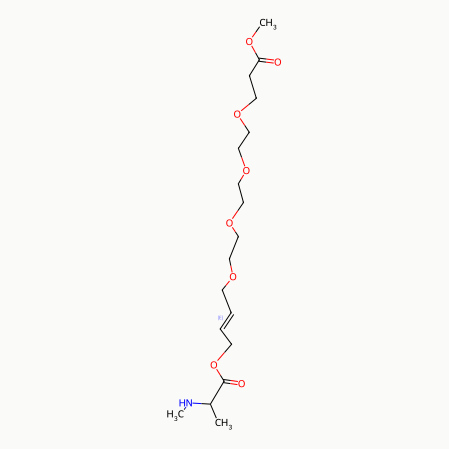 CNC(C)C(=O)OC/C=C/COCCOCCOCCOCCC(=O)OC